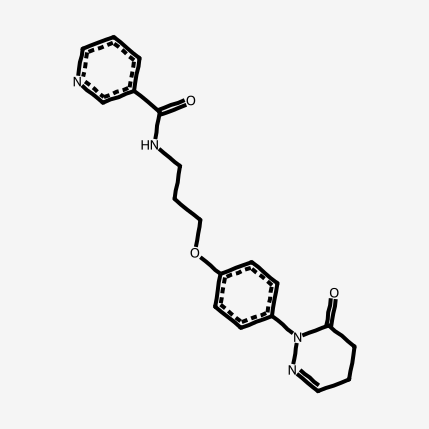 O=C(NCCCOc1ccc(N2N=CCCC2=O)cc1)c1cccnc1